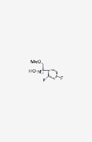 COC/C(=N\O)c1ccc(F)cc1F